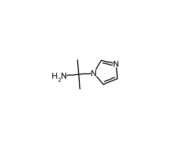 CC(C)(N)n1ccnc1